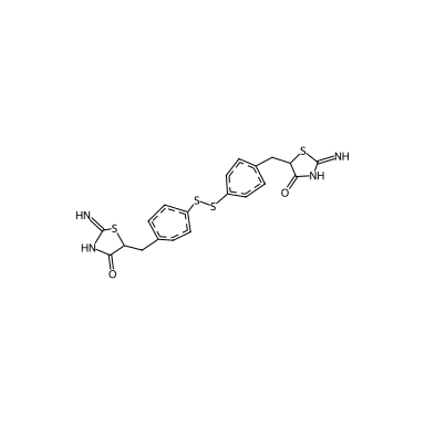 N=C1NC(=O)C(Cc2ccc(SSc3ccc(CC4SC(=N)NC4=O)cc3)cc2)S1